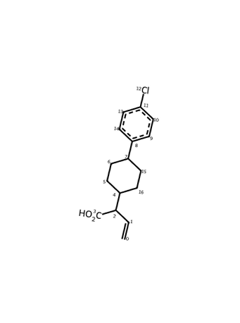 C=CC(C(=O)O)C1CCC(c2ccc(Cl)cc2)CC1